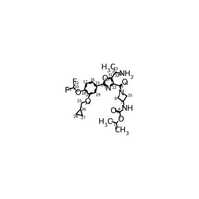 CC(C)OC(=O)NC1CN(C(=O)c2nc(-c3ccc(OC(F)F)c(OCC4CC4)c3)oc2[C@H](C)N)C1